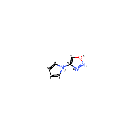 c1ccn(-c2conn2)c1